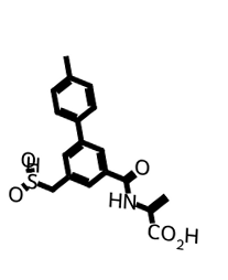 C=C(NC(=O)c1cc(C[SH](=O)=O)cc(-c2ccc(C)cc2)c1)C(=O)O